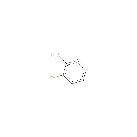 Bc1ncccc1F